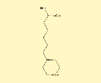 OC(O)CCCCCN1CCNCC1